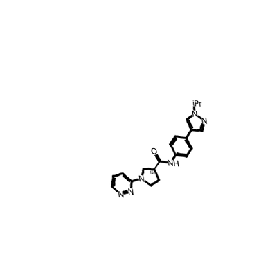 CC(C)n1cc(-c2ccc(NC(=O)[C@H]3CCN(c4cccnn4)C3)cc2)cn1